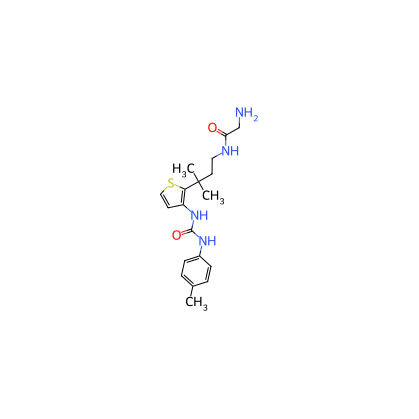 Cc1ccc(NC(=O)Nc2ccsc2C(C)(C)CCNC(=O)CN)cc1